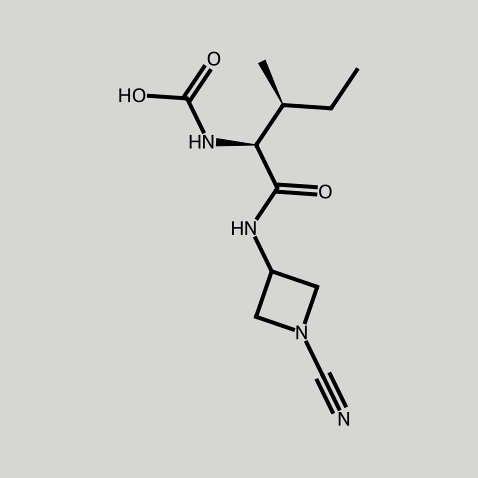 CC[C@H](C)[C@H](NC(=O)O)C(=O)NC1CN(C#N)C1